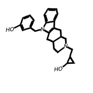 Oc1cccc(Cn2c3c(c4ccccc42)CC2CN(CC4CC4O)CCC2C3)c1